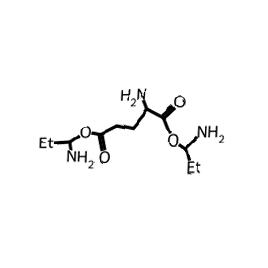 CCC(N)OC(=O)CCC(N)C(=O)OC(N)CC